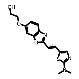 CN(C)c1ncc(/C=C/c2nc3ccc(OCCO)cc3o2)s1